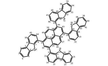 c1ccc2c(c1)sc1c(-c3cc(-c4cccc5c4sc4ccccc45)c4ccc5c(-c6cccc7c6sc6ccccc67)cc(-c6cccc7c6sc6ccccc67)c6ccc3c4c65)cccc12